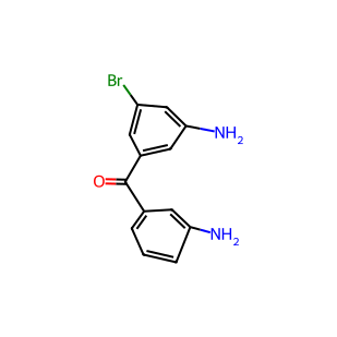 Nc1cccc(C(=O)c2cc(N)cc(Br)c2)c1